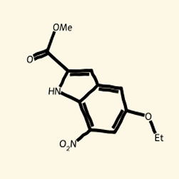 CCOc1cc([N+](=O)[O-])c2[nH]c(C(=O)OC)cc2c1